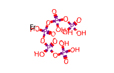 O=P(O)(O)OP(=O)(O)OP(=O)(O)OP(=O)(O)OP(=O)(O)O.[Er]